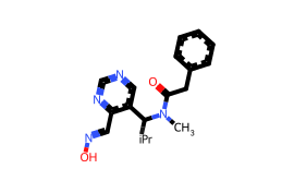 CC(C)C(c1cncnc1C=NO)N(C)C(=O)Cc1ccccc1